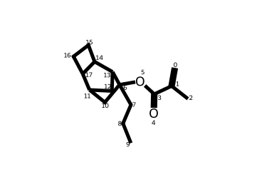 C=C(C)C(=O)OC1(CCC)CC2CC1C1CCC21